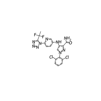 CC(F)(F)c1nnnn1-c1ccc(Nc2cn(-c3c(Cl)cccc3Cl)nc2C(N)=O)cn1